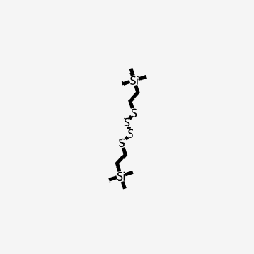 C[Si](C)(C)CCSSSSCC[Si](C)(C)C